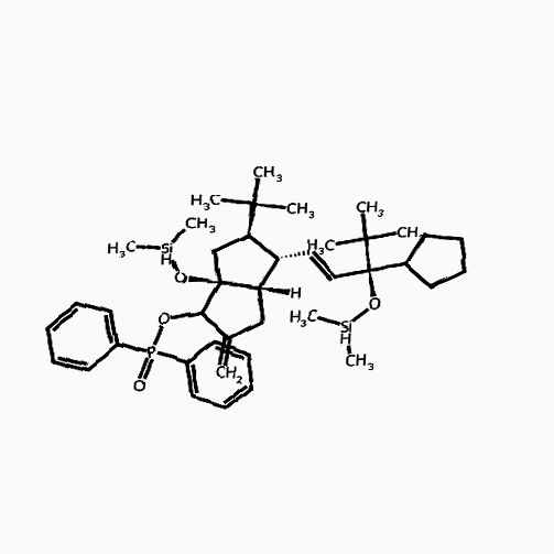 C=C1C[C@H]2[C@@H](C=C[C@@](O[SiH](C)C)(C3CCCC3)C(C)(C)C)[C@H](C(C)(C)C)C[C@@]2(O[SiH](C)C)C1OP(=O)(c1ccccc1)c1ccccc1